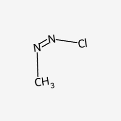 C/N=N\Cl